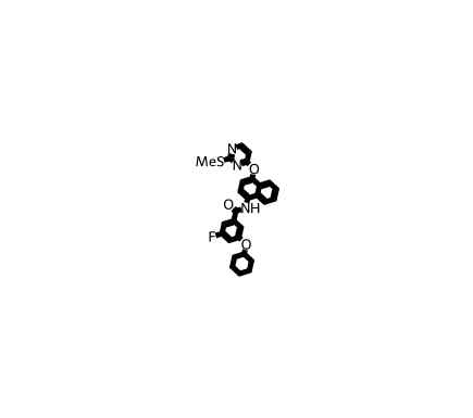 CSc1nccc(Oc2ccc(NC(=O)c3cc(F)cc(OC4CCCCC4)c3)c3ccccc23)n1